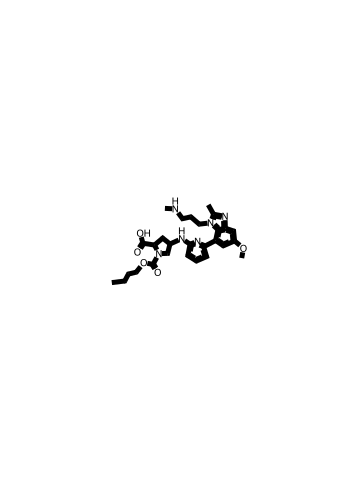 CCCCOC(=O)N1CC(Nc2cccc(-c3cc(OC)cc4nc(C)n(CCCNC)c34)n2)CC1C(=O)O